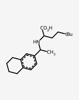 CC(NC(CCC(C)(C)C)C(=O)O)c1ccc2c(c1)CCCC2